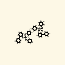 O=P(Oc1ccccc1)(Oc1ccc(Oc2ccc(OP(=O)(Oc3ccccc3)Oc3ccccc3-c3ccccc3)cc2)cc1)Oc1ccccc1-c1ccccc1